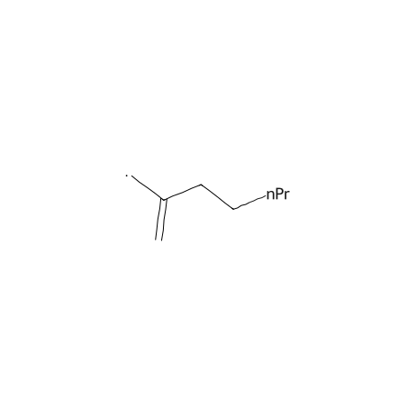 [CH2]C(=C)CCCCC